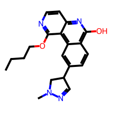 CCCCOc1nccc2nc(O)c3ccc(C4C=NN(C)C4)cc3c12